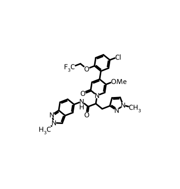 COc1cn(C(Cc2ccn(C)n2)C(=O)Nc2ccc3nn(C)cc3c2)c(=O)cc1-c1cc(Cl)ccc1OCC(F)(F)F